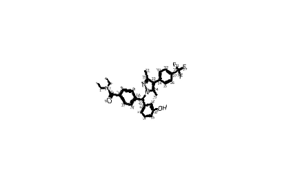 CCN(CC)C(=O)c1ccc(C(c2cccc(O)c2)n2nc(C)c(-c3ccc(C(F)(F)F)cc3)c2C)cc1